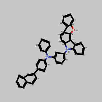 c1ccc(N(c2ccc(-c3ccc4ccccc4c3)cc2)c2cccc(-n3c4ccccc4c4c5oc6ccccc6c5ccc43)c2)cc1